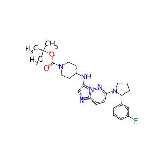 CC(C)(C)OC(=O)N1CCC(Nc2cnc3ccc(N4CCC[C@@H]4c4cccc(F)c4)nn23)CC1